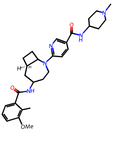 COc1cccc(C(=O)NC2CCN(c3ccc(C(=O)NC4CCN(C)CC4)cn3)C3CC[C@@H]3C2)c1C